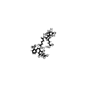 CC(CCCC(=O)NC(Cc1ccccc1[N+](=O)[O-])C1CC(=O)[N+](O)(OC(=O)[O-])C1=O)NC(=O)[C@@]1(CCCCC(=O)O)SC[C@@H]2NC(=O)N[C@@H]21